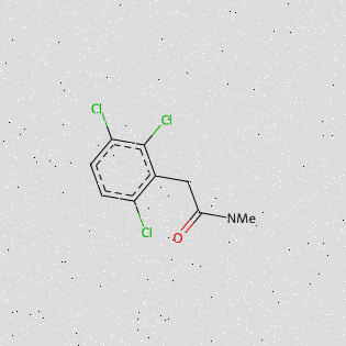 CNC(=O)Cc1c(Cl)ccc(Cl)c1Cl